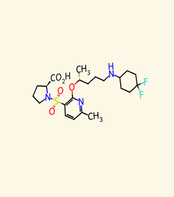 Cc1ccc(S(=O)(=O)N2CCC[C@H]2C(=O)O)c(O[C@H](C)CCCNC2CCC(F)(F)CC2)n1